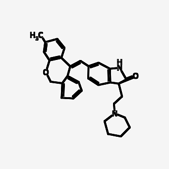 Cc1ccc2c(c1)OCc1ccccc1/C2=C\c1ccc2c(c1)NC(=O)C2CCN1CCCCC1